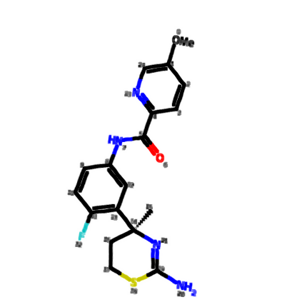 COc1ccc(C(=O)Nc2ccc(F)c([C@]3(C)CCSC(N)=N3)c2)nc1